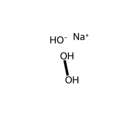 OO.[Na+].[OH-]